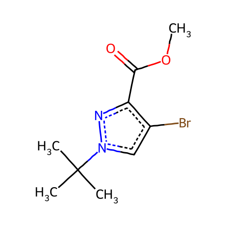 COC(=O)c1nn(C(C)(C)C)cc1Br